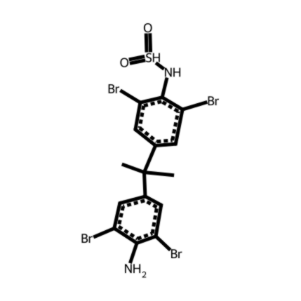 CC(C)(c1cc(Br)c(N)c(Br)c1)c1cc(Br)c(N[SH](=O)=O)c(Br)c1